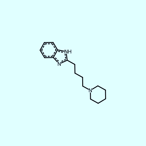 c1ccc2[nH]c(CCCCN3CCCCC3)nc2c1